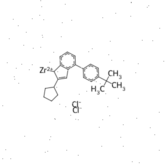 CC(C)(C)c1ccc(-c2cccc3c2C=C(C2CCCC2)[CH]3[Zr+2])cc1.[Cl-].[Cl-]